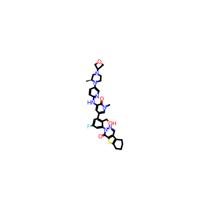 C[C@H]1CN(C2COC2)CCN1c1ccc(Nc2cc(-c3cc(F)cc(-n4ncc5c6c(sc5c4=O)CCCC6)c3CO)cn(C)c2=O)nc1